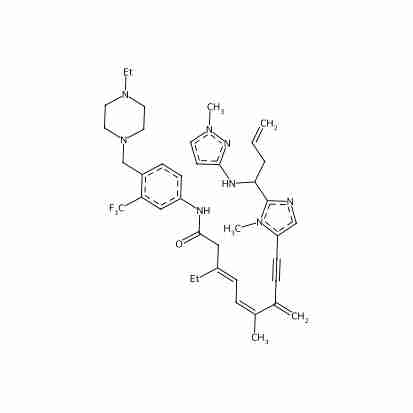 C=CCC(Nc1ccn(C)n1)c1ncc(C#CC(=C)/C(C)=C\C=C(/CC)CC(=O)Nc2ccc(CN3CCN(CC)CC3)c(C(F)(F)F)c2)n1C